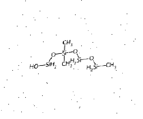 C[SiH2]O[SiH2]O[Si](C)(C)O[SiH2]O